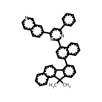 CC1(C)c2cccc(-c3ccc(-c4nc(-c5ccccc5)cc(-c5ccc6ccncc6c5)n4)c4ccccc34)c2-c2ccc3ccccc3c21